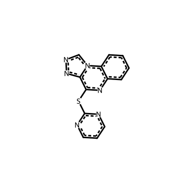 c1cnc(Sc2nc3ccccc3n3cnnc23)nc1